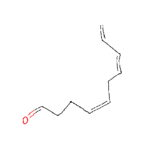 C=C/C=C\C/C=C\CCC=O